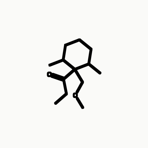 CCC(=O)C1(COC)C(C)CCCC1C